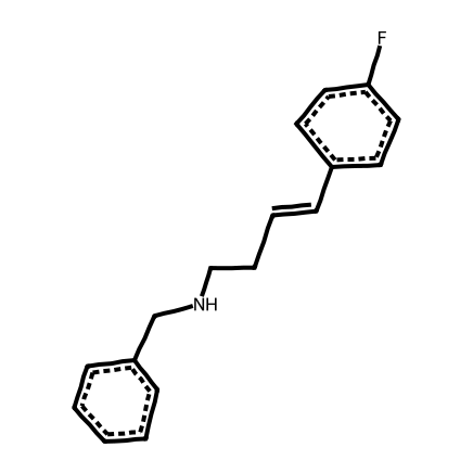 Fc1ccc(C=CCCNCc2ccccc2)cc1